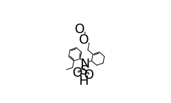 CCc1ccccc1N(C1CCCC=C1CCOC=O)[SH](=O)=O